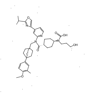 COc1ccc(C23CCC(CN(c4cc(-c5coc(C(C)C)n5)ccn4)C(=O)[C@H]4CC[C@H](N(CCCO)C(=O)O)CC4)(CC2)CC3)cc1C